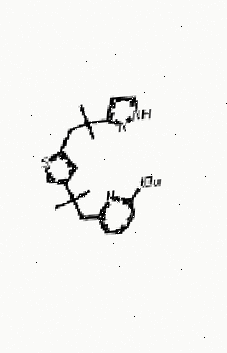 CC(C)(C)c1cccc(CC(C)(C)c2csc(CC(C)(C)c3cc[nH]n3)c2)n1